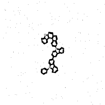 c1ccc(-n2c3ccccc3c3cc(-c4ccc5c(c4)c4ccccc4n5-c4ccc5c(ccc6ccc7oc8ccccc8c7c65)c4)ccc32)cc1